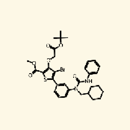 COC(=O)c1sc(-c2cccc(N(CC3CCCCC3)C(=O)Nc3ccccc3)c2)c(Br)c1OCC(=O)OC(C)(C)C